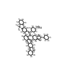 CC(C)(C)c1ccc(N2B3c4cc5nc(-c6ccccc6)oc5cc4-n4c5cc6oc7ccccc7c6cc5c5ccc(c3c54)-c3cc4c(cc32)-c2ccccc2C4(C)C)cc1